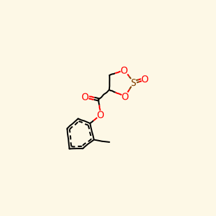 Cc1ccccc1OC(=O)C1COS(=O)O1